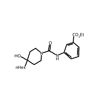 CCCCCCC1(O)CCN(C(=O)Nc2cccc(C(=O)OCC)c2)CC1